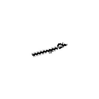 C=CC[N+]1(C)CCCN(CCCCCCCCCCCCCCCCCC)CC1.[Br-]